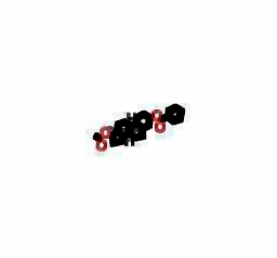 CC(=O)OC1CC[C@H]2[C@@H]3CC=C4CC(OC(=O)c5ccccc5)CC[C@]4(C)[C@@H]3CC[C@]12C